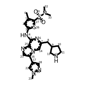 Cc1cc(Nc2nc(CC3CCNC3)cn3c(-c4cnn(C)c4)cnc23)sc1S(=O)(=O)N(C)C